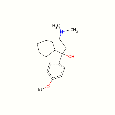 CCOc1ccc(C(O)(CCN(C)C)C2CCCCC2)cc1